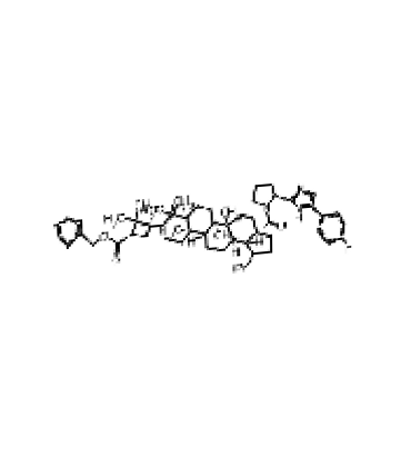 CC(C)C1CC[C@]2(C(=O)N3CCC[C@H]3c3ncc(-c4ccc(F)cc4)[nH]3)CC[C@]3(C)[C@H](CC[C@@H]4[C@]5(C)CC[C@H]([C@@]6(C(=O)O)C[C@@H](C(=O)OCc7ccccc7)C6(C)C)C(C)(C)[C@H]5CC[C@]43C)[C@@H]12